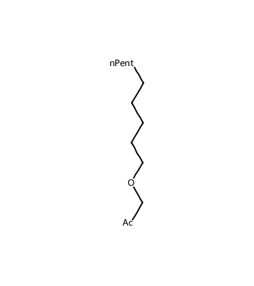 CCCCCCCCCCOCC(C)=O